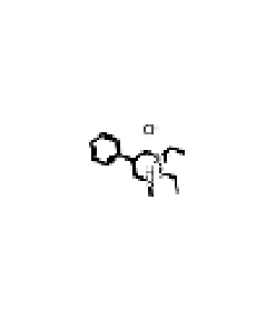 CC[S][Sn+]([CH2]C)[CH2]C(CNC)c1ccccc1.[Cl-]